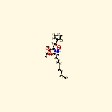 C#CCCCCCCCCC(=O)N[C@H](CC(=O)c1ccccc1)C(=O)OCC